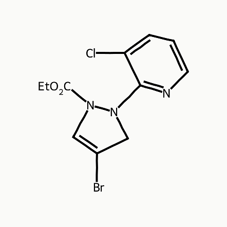 CCOC(=O)N1C=C(Br)CN1c1ncccc1Cl